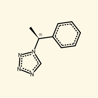 C[C@@H](c1ccccc1)n1cnnn1